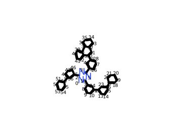 C=N/C(=N\C(=N/Cc1cccc(-c2cccc(-c3ccccc3)c2)c1)c1cccc(-c2cc3ccccc3c3ccccc23)c1)c1cccc(-c2ccccc2)c1